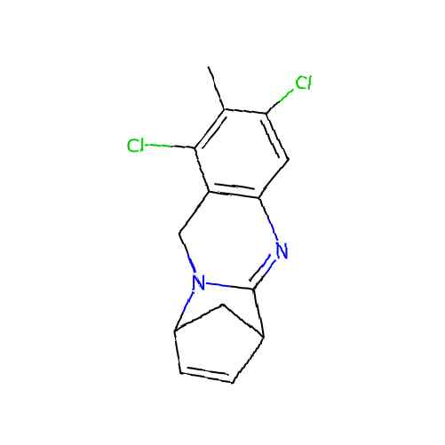 Cc1c(Cl)cc2c(c1Cl)CN1C(=N2)C2C=CC1C2